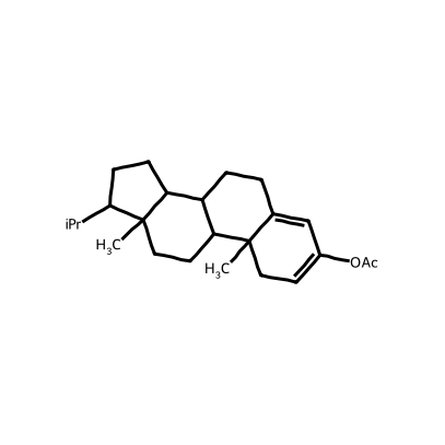 CC(=O)OC1=CCC2(C)C(=C1)CCC1C2CCC2(C)C(C(C)C)CCC12